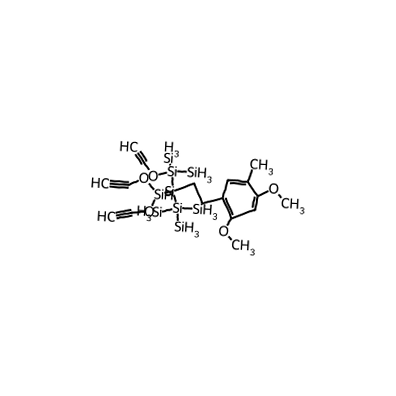 C#CO[SiH](OC#C)[Si](CCc1cc(C)c(OC)cc1OC)([Si]([SiH3])([SiH3])[SiH3])[Si]([SiH3])([SiH3])OC#C